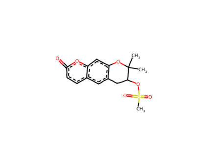 CC1(C)Oc2cc3oc(=O)ccc3cc2CC1OS(C)(=O)=O